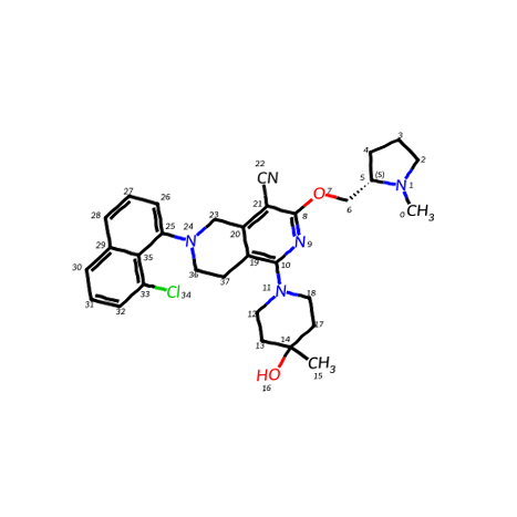 CN1CCC[C@H]1COc1nc(N2CCC(C)(O)CC2)c2c(c1C#N)CN(c1cccc3cccc(Cl)c13)CC2